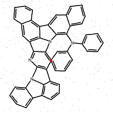 c1ccc(N(c2ccccc2)c2c3ccccc3cc3c4c5ccccc5cc5c6nc7c(cc6n(c23)c54)c2cccc3c4ccccc4n7c32)cc1